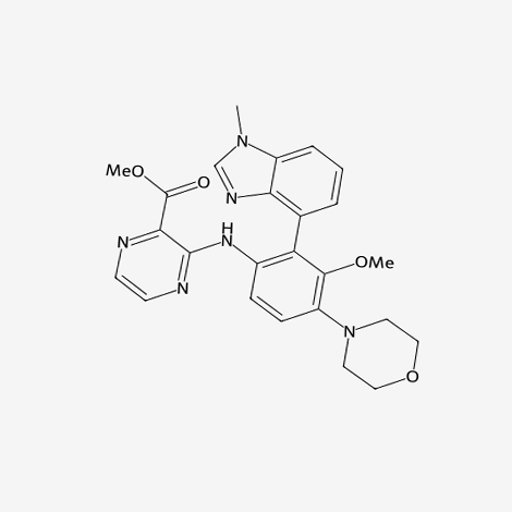 COC(=O)c1nccnc1Nc1ccc(N2CCOCC2)c(OC)c1-c1cccc2c1ncn2C